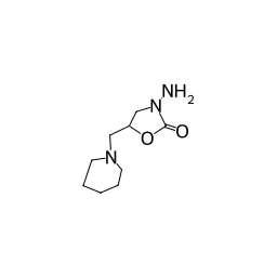 NN1CC(CN2CCCCC2)OC1=O